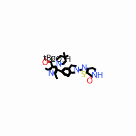 Cc1nc(C)c([C@H](OC(C)(C)C)C(=O)O)c(N2CCC(C)(C)CC2)c1-c1ccc2c(c1)CCN(c1nc3c(s1)C(=O)NCC3)C2